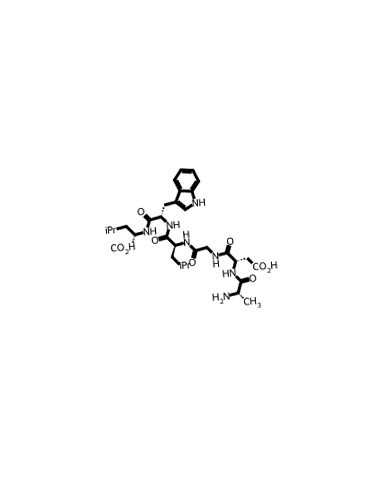 CC(C)C[C@H](NC(=O)[C@H](Cc1c[nH]c2ccccc12)NC(=O)[C@H](CC(C)C)NC(=O)CNC(=O)[C@H](CC(=O)O)NC(=O)[C@H](C)N)C(=O)O